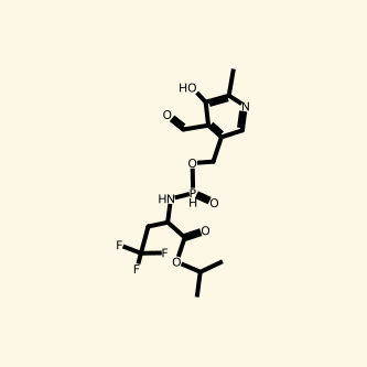 Cc1ncc(CO[PH](=O)NC(CC(F)(F)F)C(=O)OC(C)C)c(C=O)c1O